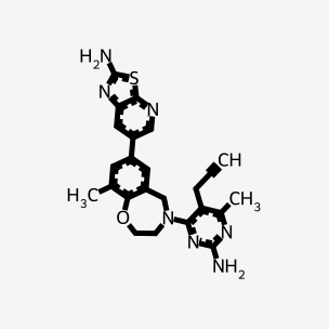 C#CCc1c(C)nc(N)nc1N1CCOc2c(C)cc(-c3cnc4sc(N)nc4c3)cc2C1